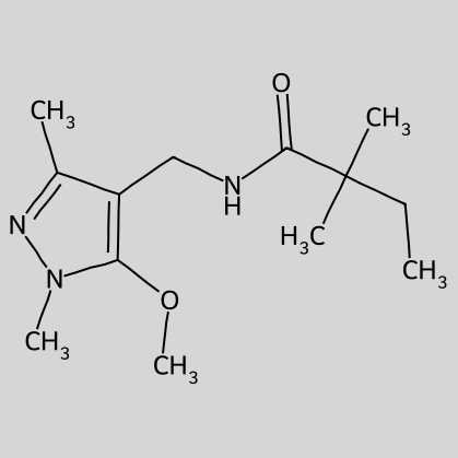 CCC(C)(C)C(=O)NCc1c(C)nn(C)c1OC